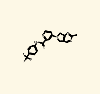 Cc1ncc2c(n1)CN(c1ccnc(C(=O)Nc3ccc(C(F)(F)F)cc3)c1)C2